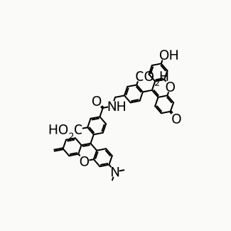 C=c1ccc2c(c1)Oc1cc(N(C)C)ccc1C=2c1ccc(C(=O)NCc2ccc(-c3c4ccc(=O)cc-4oc4cc(O)ccc34)c(C(=O)O)c2)cc1C(=O)O